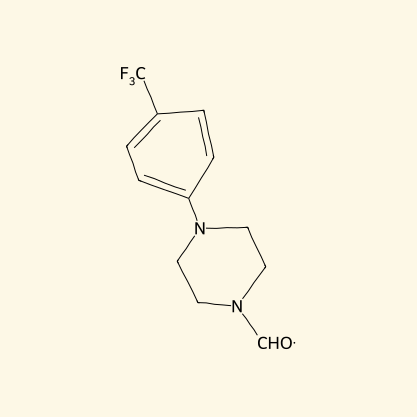 O=[C]N1CCN(c2ccc(C(F)(F)F)cc2)CC1